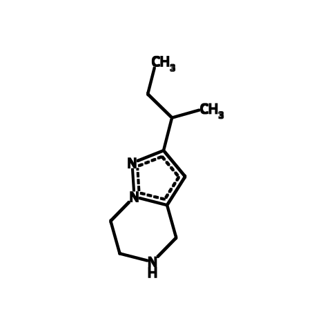 CCC(C)c1cc2n(n1)CCNC2